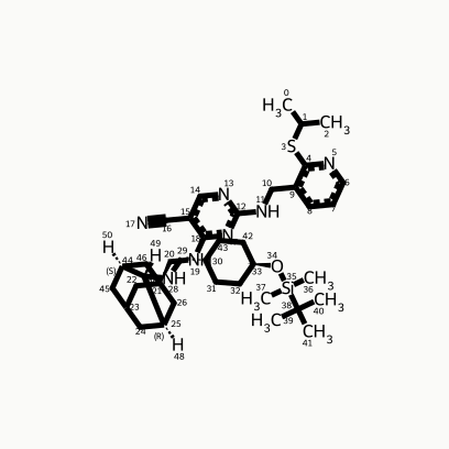 CC(C)Sc1ncccc1CNc1ncc(C#N)c(NC[C@]23CC4C[C@H](C2)[C@@H](NC[C@H]2CC[C@H](O[Si](C)(C)C(C)(C)C)CC2)[C@@H](C4)C3)n1